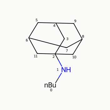 CCCCNC12CC3CC(CC(C3)C1)C2